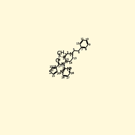 CC[C@@H]1CN(CCc2ccccc2)CC[C@@H]1N(C(=O)c1ccsc1)c1ncccn1